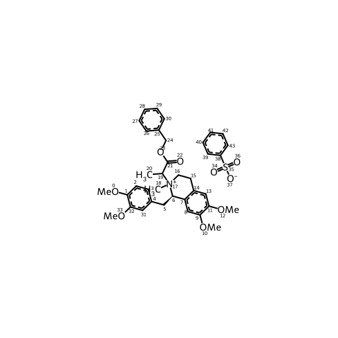 COc1ccc(C[C@@H]2c3cc(OC)c(OC)cc3CC[N+]2(C)C(C)C(=O)OCc2ccccc2)cc1OC.O=S(=O)([O-])c1ccccc1